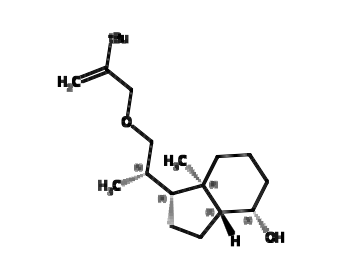 C=C(COC[C@@H](C)[C@H]1CC[C@H]2[C@@H](O)CCC[C@]12C)C(C)(C)C